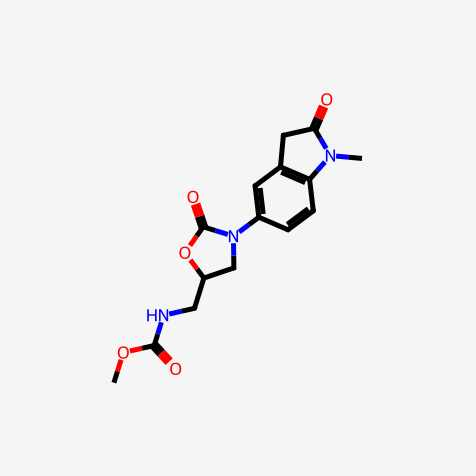 COC(=O)NCC1CN(c2ccc3c(c2)CC(=O)N3C)C(=O)O1